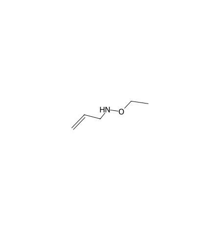 C=CCNOCC